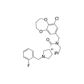 CC(C)CN(Cc1cc(Cl)c2c(c1)OCCCO2)C(=O)[C@@H]1CCN(Cc2ccccc2F)C1